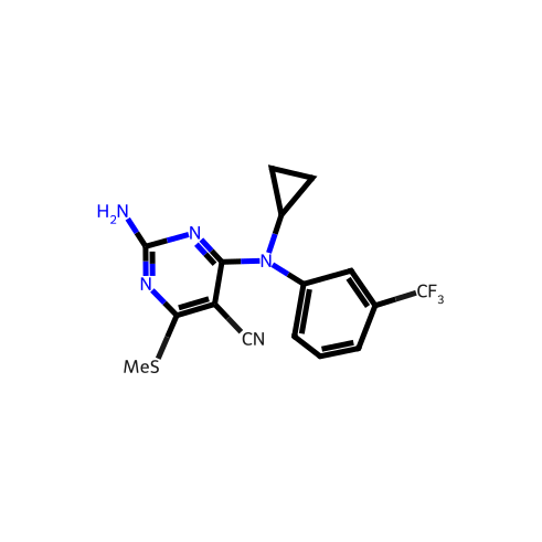 CSc1nc(N)nc(N(c2cccc(C(F)(F)F)c2)C2CC2)c1C#N